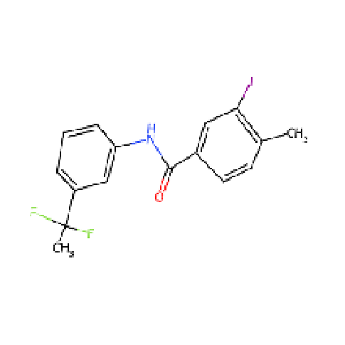 Cc1ccc(C(=O)Nc2cccc(C(C)(F)F)c2)cc1I